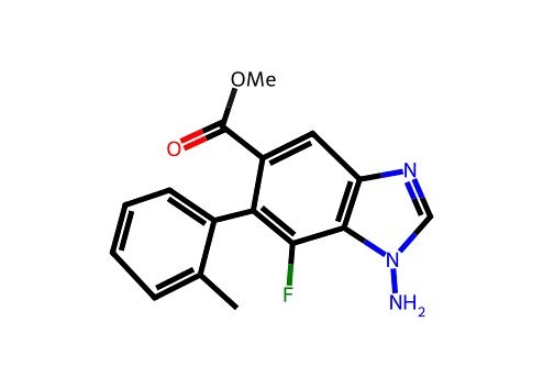 COC(=O)c1cc2ncn(N)c2c(F)c1-c1ccccc1C